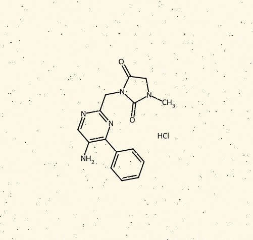 CN1CC(=O)N(Cc2ncc(N)c(-c3ccccc3)n2)C1=O.Cl